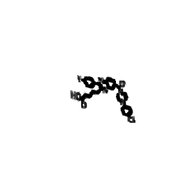 O=C(O)CCCCc1nc2cc(C(=O)N3CCN(c4ccc(Cl)cc4)CC3)ccc2nc1-c1ccc(F)cc1